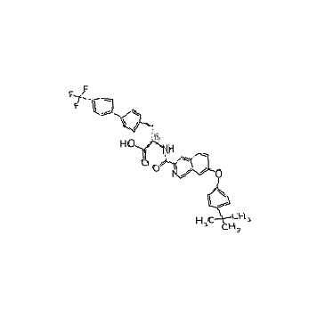 CC(C)(C)c1ccc(Oc2ccc3cc(C(=O)N[C@@H](Cc4ccc(-c5ccc(C(F)(F)F)cc5)cc4)C(=O)O)ncc3c2)cc1